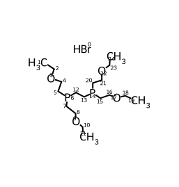 Br.CCOCCP(CCOCC)CCP(CCOCC)CCOCC